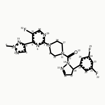 Cn1ncc(-c2nc(N3CCN(C(=O)N4N=CCC4c4cc(F)cc(F)c4)CC3)ncc2F)n1